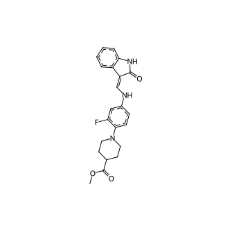 COC(=O)C1CCN(c2ccc(NC=C3C(=O)Nc4ccccc43)cc2F)CC1